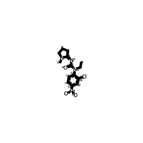 CCN(C(=O)/N=C1/CCCN1C)c1ccc([N+](=O)[O-])cc1Cl